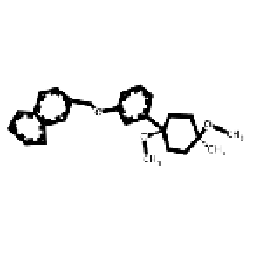 CO[C@]1(C)CC[C@@](OC)(c2cccc(OCc3ccc4ccccc4c3)c2)CC1